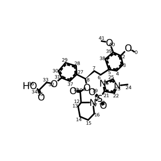 COc1ccc(CC[C@@H](OC(=O)C2CCCCN2S(=O)(=O)c2cn(C)cn2)c2cccc(OCC(=O)O)c2)cc1OC